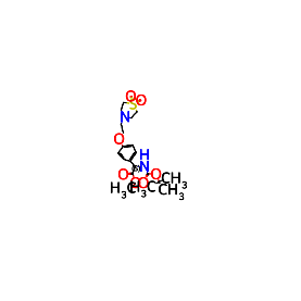 COC(=O)[C@@H](NC(=O)OC(C)(C)C)c1ccc(OCCN2CCS(=O)(=O)CC2)cc1